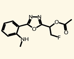 CNc1ccccc1-c1nnc(C(CF)OC(C)=O)o1